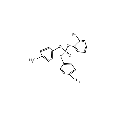 Cc1ccc(OP(=O)(Oc2ccc(C)cc2)Oc2ccccc2C(C)C)cc1